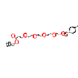 Cc1ccc(SOCCOCCOCCOCCOCCC(=O)OC(C)(C)C)cc1